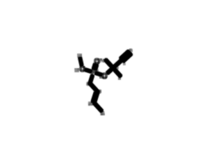 C#CC(C)(C)OP(=O)(C/C=C/C)OC